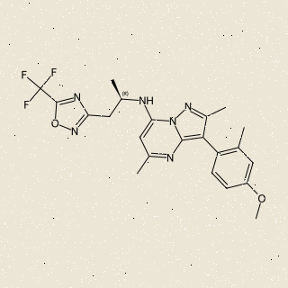 COc1ccc(-c2c(C)nn3c(N[C@H](C)Cc4noc(C(F)(F)F)n4)cc(C)nc23)c(C)c1